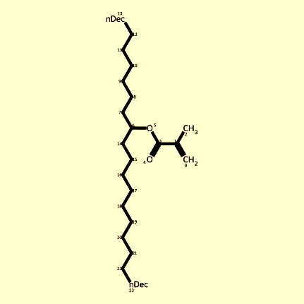 C=C(C)C(=O)OC(CCCCCCCCCCCCCCCC)CCCCCCCCCCCCCCCCCCC